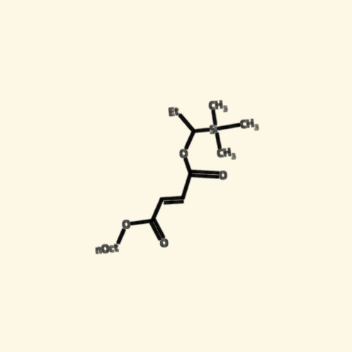 CCCCCCCCOC(=O)/C=C/C(=O)OC(CC)[Si](C)(C)C